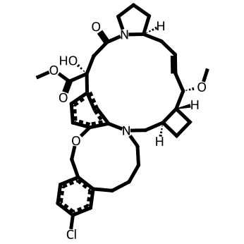 COC(=O)[C@@]1(O)CC(=O)N2CCC[C@H]2C/C=C/[C@H](OC)[C@@H]2CC[C@H]2CN2CCCCc3cc(Cl)ccc3COc3ccc1cc32